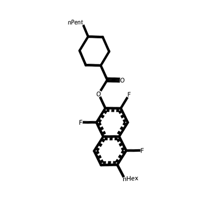 CCCCCCc1ccc2c(F)c(OC(=O)C3CCC(CCCCC)CC3)c(F)cc2c1F